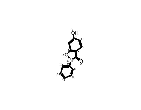 O=c1c2ccc(O)cc2on1-c1ccccc1